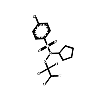 O=S(=O)(c1ccc(Cl)cc1)N(SC(Cl)(Cl)C(Cl)Cl)C1CCCC1